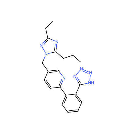 CCCc1nc(CC)nn1Cc1ccc(-c2ccccc2-c2nnn[nH]2)nc1